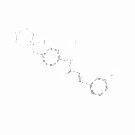 C[N+]1(Cc2ccc(NC(=O)/C=C/c3cccc(Br)c3)cc2)CCOCC1.[Cl-]